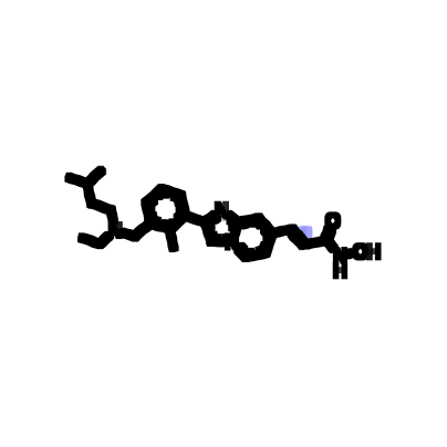 CCN(CCC(C)C)Cc1cccc(-c2cn3ccc(/C=C/C(=O)NO)cc3n2)c1C